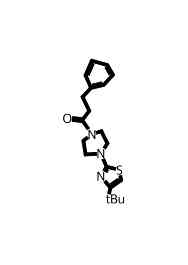 CC(C)(C)c1csc(N2CCN(C(=O)CCc3ccccc3)CC2)n1